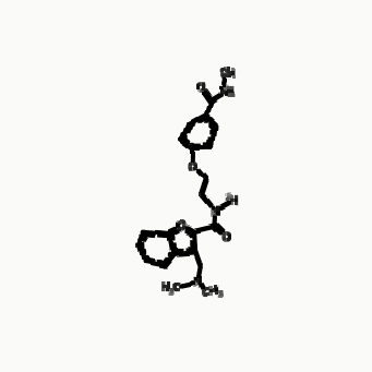 [2H]N(CCOc1ccc(C(=O)NO)cc1)C(=O)c1oc2ccccc2c1CN(C)C